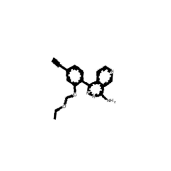 C#Cc1ccc(-c2nnc(N)c3cnccc23)c(OCOCC)c1